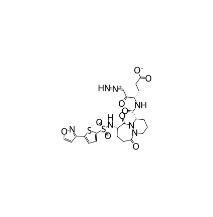 N=[N+]=CC(=O)[C@H](CCC(=O)[O-])NC(=O)[C@@H]1CCCN2C(=O)CC[C@H](NS(=O)(=O)c3ccc(-c4ccon4)s3)C(=O)N12